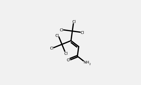 NC(=O)C=C(C(Cl)(Cl)Cl)C(Cl)(Cl)Cl